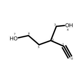 [C]#CC(CO)CCO